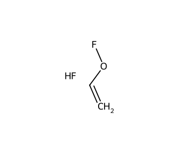 C=COF.F